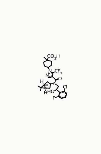 CC1(C(=O)O)CCC(n2ncc(C(=O)N(CC(O)c3c(F)cccc3Cl)C3C[C@@H]4[C@H](C3)C4(C)C)c2C(F)(F)F)CC1